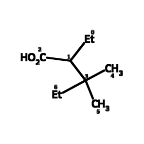 CCC(C(=O)O)C(C)(C)CC